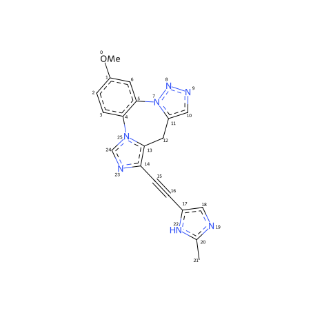 COc1ccc2c(c1)-n1nncc1Cc1c(C#Cc3cnc(C)[nH]3)ncn1-2